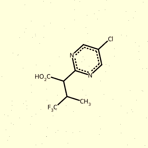 CC(C(C(=O)O)c1ncc(Cl)cn1)C(F)(F)F